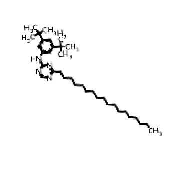 CCCCCCCCCCCCCCCCCCc1ncnc(Nc2cc(C(C)(C)C)cc(C(C)(C)C)c2)n1